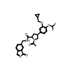 CC(=O)N1CC(c2ccc(OC(F)F)c(OCC3CC3)c2)CC1C(=O)NCc1ccc2c(c1)C(=O)N=C2